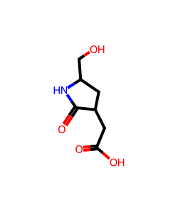 O=C(O)CC1CC(CO)NC1=O